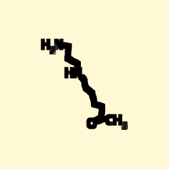 CC(=O)CCCCCNCCCN